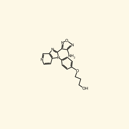 Nc1nonc1-c1nc2cnccc2n1-c1ccc(OCCCO)cc1